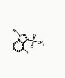 CS(=O)(=O)n1cc(Br)c2cccc(F)c21